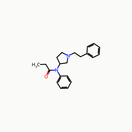 CCC(=O)N(c1ccccc1)C1CCN(CCc2ccccc2)C1